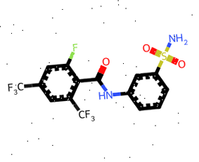 NS(=O)(=O)c1cccc(NC(=O)c2c(F)cc(C(F)(F)F)cc2C(F)(F)F)c1